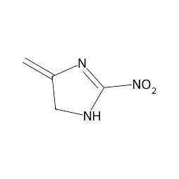 C=C1CNC([N+](=O)[O-])=N1